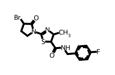 CC1N=C(N2CCC(Br)C2=O)SC1C(=O)NCc1ccc(F)cc1